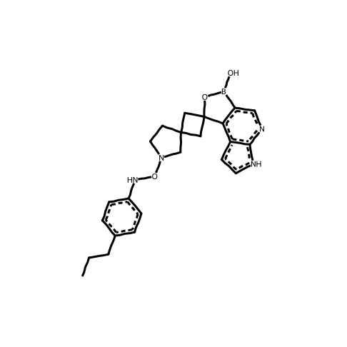 CCCc1ccc(NON2CCC3(C2)CC2(C3)OB(O)c3cnc4[nH]ccc4c32)cc1